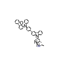 C=C/C=N\c1ncc(-n2c3ccccc3c3cc(-c4ccc(N(c5ccccc5)c5cccc6c5oc5ccccc56)cc4)ccc32)cc1C